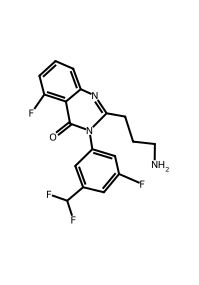 NCCCc1nc2cccc(F)c2c(=O)n1-c1cc(F)cc(C(F)F)c1